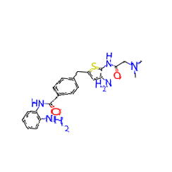 CN(C)CC(=O)Nc1sc(Cc2ccc(C(=O)Nc3ccccc3N)cc2)cc1N